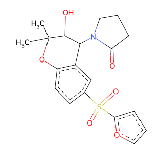 CC1(C)Oc2ccc(S(=O)(=O)c3ccco3)cc2C(N2CCCC2=O)C1O